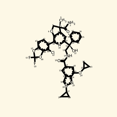 C[C@]1(C(N)=O)COc2c1cc([C@@](O)(CNC(=O)c1cc(OC3CC3)c3nn(C4CC4)cc3c1)c1ccccc1)nc2-c1ccc2c(c1Cl)OC(F)(F)O2